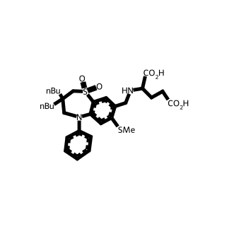 CCCCC1(CCCC)CN(c2ccccc2)c2cc(SC)c(CNC(CCC(=O)O)C(=O)O)cc2S(=O)(=O)C1